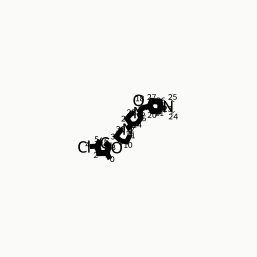 Cc1cc(Cl)ccc1OC1CCN(C2CCN(C(=O)c3ccc(N(C)C)cc3)CC2)CC1